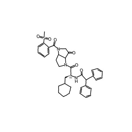 CS(=O)(=O)c1ccccc1C(=O)N1CC(=O)C2C1CCN2C(=O)[C@H](CC1CCCCC1)NC(=O)C(c1ccccc1)c1ccccc1